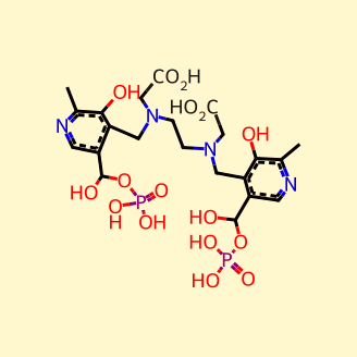 Cc1ncc(C(O)OP(=O)(O)O)c(CN(CCN(CC(=O)O)Cc2c(C(O)OP(=O)(O)O)cnc(C)c2O)CC(=O)O)c1O